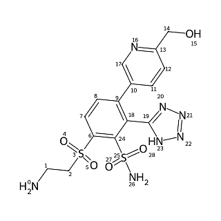 NCCS(=O)(=O)c1ccc(-c2ccc(CO)nc2)c(-c2nnn[nH]2)c1S(N)(=O)=O